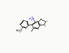 COc1cccc(-c2c(C)cc3c(c2N)CCC3)c1